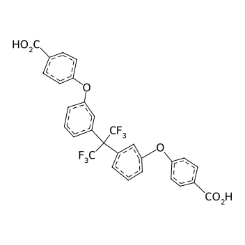 O=C(O)c1ccc(Oc2cccc(C(c3cccc(Oc4ccc(C(=O)O)cc4)c3)(C(F)(F)F)C(F)(F)F)c2)cc1